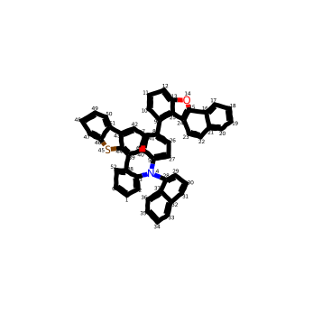 c1ccc(N(c2ccc(-c3cccc4oc5c6ccccc6ccc5c34)cc2)c2cccc3ccccc23)c(-c2cccc3c2sc2ccccc23)c1